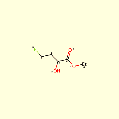 CCOC(=O)C(O)CCF